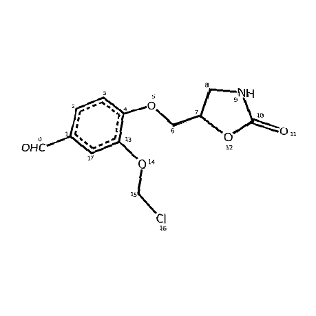 O=Cc1ccc(OCC2CNC(=O)O2)c(OCCl)c1